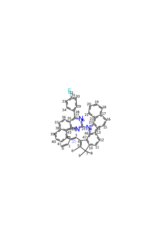 C=C/C=C\C1=C(C)C(C)(C)c2ccc3c4ccc5ccccc5c4n(-c4nc(-c5ccc(F)cc5)c5ccc6ccccc6c5n4)c3c21